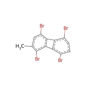 Cc1cc(Br)c2c(c1Br)-c1c(Br)ccc(Br)c1-2